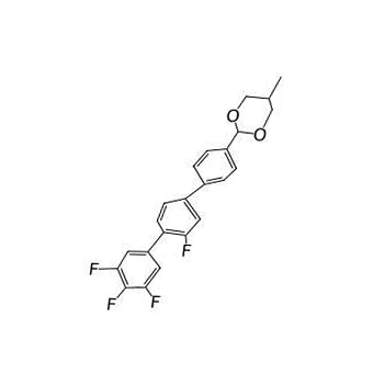 CC1COC(c2ccc(-c3ccc(-c4cc(F)c(F)c(F)c4)c(F)c3)cc2)OC1